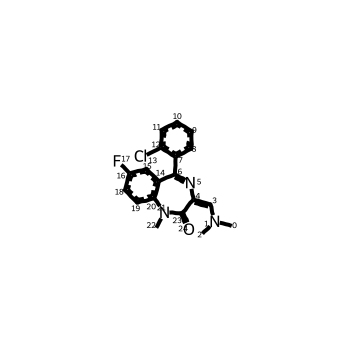 CN(C)C=C1N=C(c2ccccc2Cl)c2cc(F)ccc2N(C)C1=O